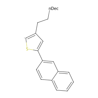 CCCCCCCCCCCCc1[c]sc(-c2ccc3ccccc3c2)c1